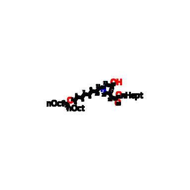 CCCCCCCCC(CCCCCCCC)OCCCCCCCCN(CCO)CCCC(=O)OCCCCCCC